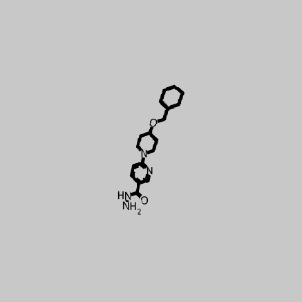 NNC(=O)c1ccc(N2CCC(OCC3CCCCC3)CC2)nc1